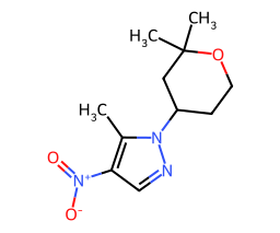 Cc1c([N+](=O)[O-])cnn1C1CCOC(C)(C)C1